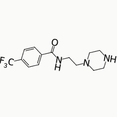 O=C(NCCN1CCNCC1)c1ccc(C(F)(F)F)cc1